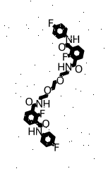 O=C(NCCOCCOCCNC(=O)c1cccc(C(=O)Nc2ccc(F)cc2)c1F)c1cccc(C(=O)Nc2ccc(F)cc2)c1F